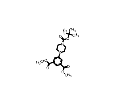 COC(=O)c1cc(C(=O)OC)cc(N2CCN(C(=O)OC(C)(C)C)CC2)c1